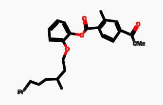 COC(=O)c1ccc(C(=O)Oc2ccccc2OCCC(C)CCCC(C)C)c(C)c1